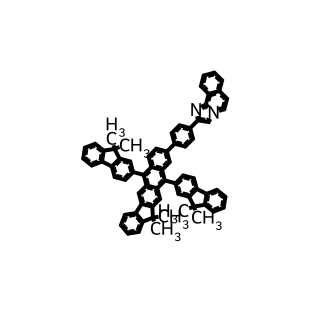 CC1(C)c2ccccc2-c2ccc(-c3c4ccc(-c5ccc(-c6cn7ccc8ccccc8c7n6)cc5)cc4c(-c4ccc5c(c4)C(C)(C)c4ccccc4-5)c4cc5c(cc34)-c3ccccc3C5(C)C)cc21